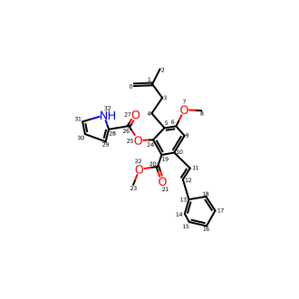 C=C(C)CCc1c(OC)cc(C=Cc2ccccc2)c(C(=O)OC)c1OC(=O)c1ccc[nH]1